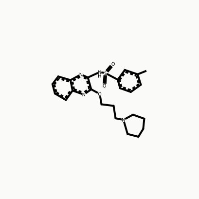 Cc1cccc(S(=O)(=O)Nc2nc3ccccc3nc2OCCCN2CCCCC2)c1